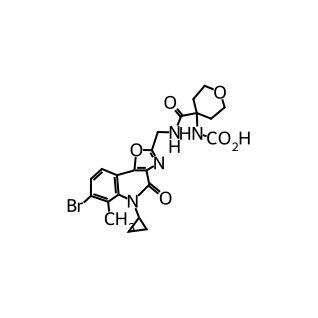 Cc1c(Br)ccc2c3oc(CNC(=O)C4(NC(=O)O)CCOCC4)nc3c(=O)n(C3CC3)c12